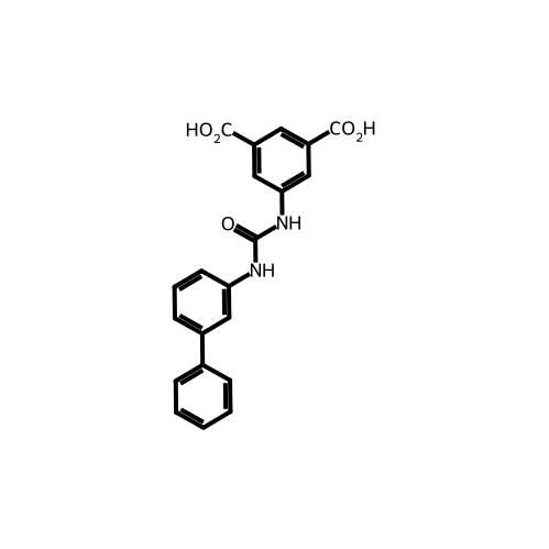 O=C(Nc1cc(C(=O)O)cc(C(=O)O)c1)Nc1cccc(-c2ccccc2)c1